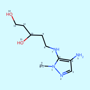 CC(C)n1ncc(N)c1NCCC(O)CCO